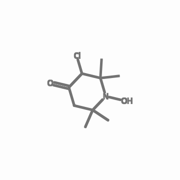 CC1(C)CC(=O)C(Cl)C(C)(C)N1O